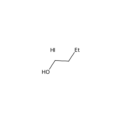 CCCCO.I